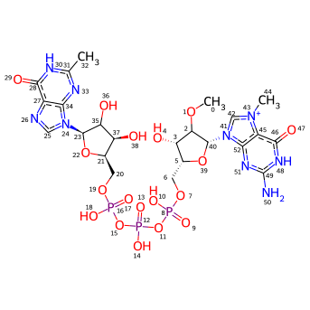 COC1[C@@H](O)[C@@H](COP(=O)(O)OP(=O)(O)OP(=O)(O)OC[C@H]2O[C@@H](n3cnc4c(=O)[nH]c(C)nc43)C(O)[C@H]2O)O[C@H]1n1c[n+](C)c2c(=O)[nH]c(N)nc21